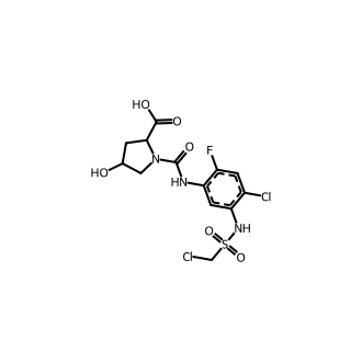 O=C(O)C1CC(O)CN1C(=O)Nc1cc(NS(=O)(=O)CCl)c(Cl)cc1F